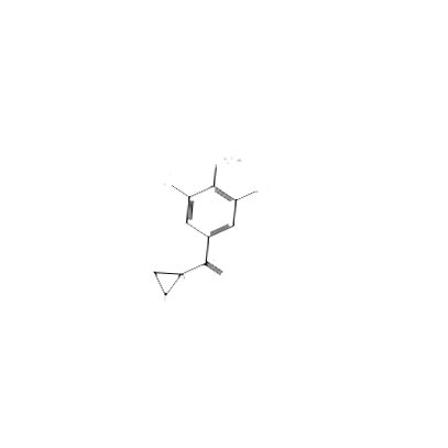 COc1c(F)cc(C(=O)C2CC2)cc1Br